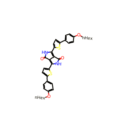 CCCCCCOc1ccc(-c2ccc(C3=C4C(=O)NC(c5ccc(-c6ccc(OCCCCCC)cc6)s5)=C4C(=O)N3)s2)cc1